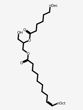 CCCCCCCC/C=C\CCCCCCCC(=O)OCC(CO)OC(=O)CCCCCCCCCCCCCCC